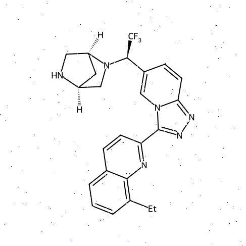 CCc1cccc2ccc(-c3nnc4ccc([C@@H](N5C[C@@H]6C[C@H]5CN6)C(F)(F)F)cn34)nc12